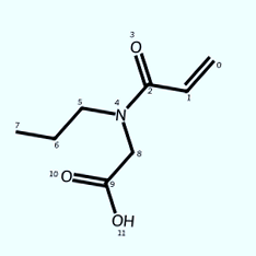 C=CC(=O)N(CCC)CC(=O)O